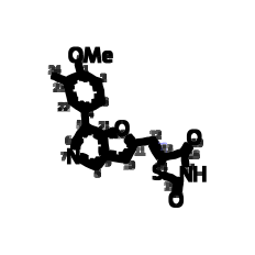 COc1ccc(-c2cncc3cc(/C=C4\SC(=O)NC4=O)oc23)cc1C